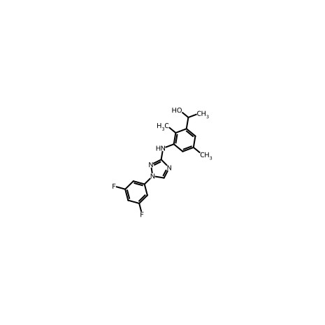 Cc1cc(Nc2ncn(-c3cc(F)cc(F)c3)n2)c(C)c(C(C)O)c1